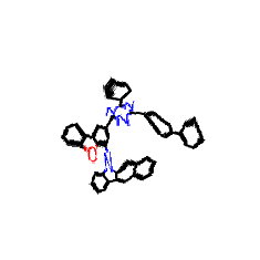 c1ccc(-c2ccc(-c3nc(-c4ccccc4)nc(-c4cc(-n5c6ccccc6c6cc7ccccc7cc65)c5oc6ccccc6c5c4)n3)cc2)cc1